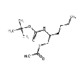 CCCC[C@@H](CSC(C)=O)NC(=O)OC(C)(C)C